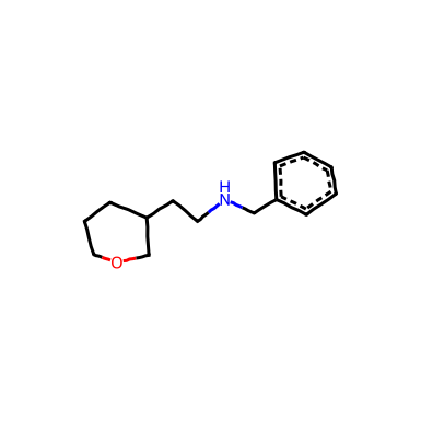 c1ccc(CNCCC2CCCOC2)cc1